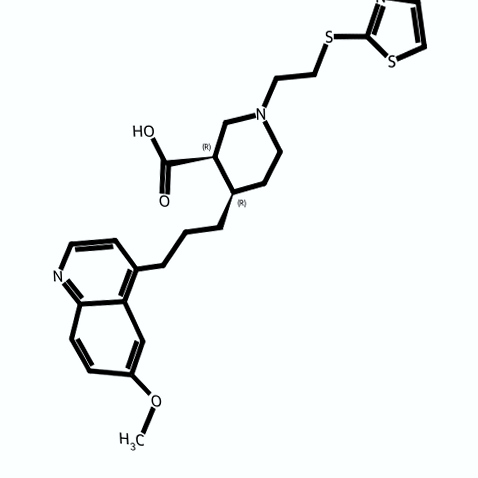 COc1ccc2nccc(CCC[C@@H]3CCN(CCSc4nccs4)C[C@@H]3C(=O)O)c2c1